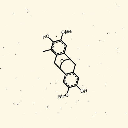 COc1cc2c(cc1O)CC1OC2Cc2c1cc(OC)c(O)c2C